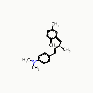 C=c1ccc(C)c/c1=C/[C@@H](C)/C=C/c1ccc(N(C)C)cc1